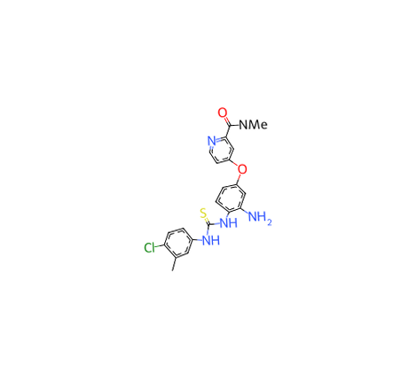 CNC(=O)c1cc(Oc2ccc(NC(=S)Nc3ccc(Cl)c(C)c3)c(N)c2)ccn1